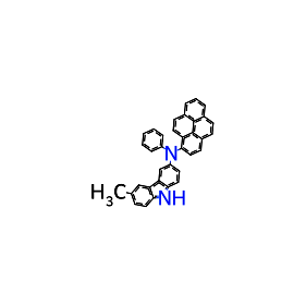 Cc1ccc2[nH]c3ccc(N(c4ccccc4)c4ccc5ccc6cccc7ccc4c5c67)cc3c2c1